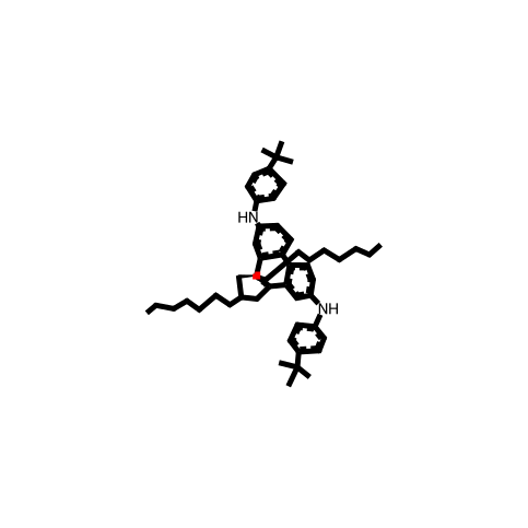 CCCCCCCC1C[C@]23CC(CCCCCCC)C[C@@]2(C1)c1cc(Nc2ccc(C(C)(C)C)cc2)ccc1-c1ccc(Nc2ccc(C(C)(C)C)cc2)cc13